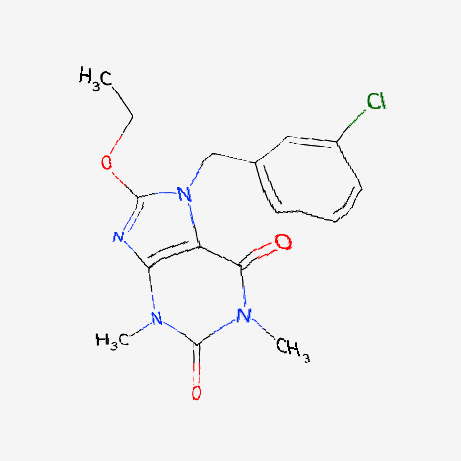 CCOc1nc2c(c(=O)n(C)c(=O)n2C)n1Cc1cccc(Cl)c1